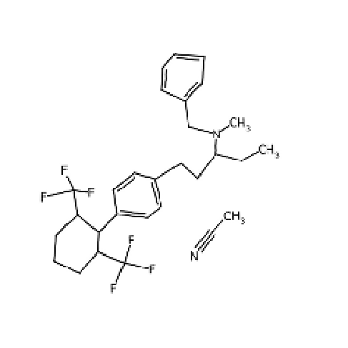 CC#N.CCC(CCc1ccc(C2C(C(F)(F)F)CCCC2C(F)(F)F)cc1)N(C)Cc1ccccc1